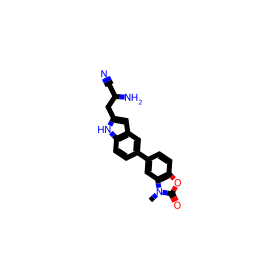 Cn1c(=O)oc2ccc(-c3ccc4[nH]c(CC(N)C#N)cc4c3)cc21